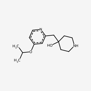 CC(C)Oc1ccnc(CC2(O)CCNCC2)c1